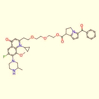 COc1c(N2CCNC(C)C2)c(F)cc2c(=O)cc(CCOCCOCCOC(=O)C3CCn4c(C(=O)c5ccccc5)ccc43)n(C3CC3)c12